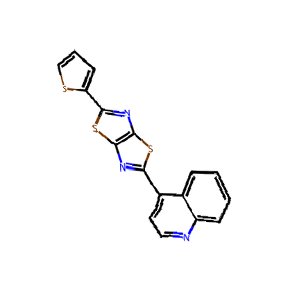 c1csc(-c2nc3sc(-c4ccnc5ccccc45)nc3s2)c1